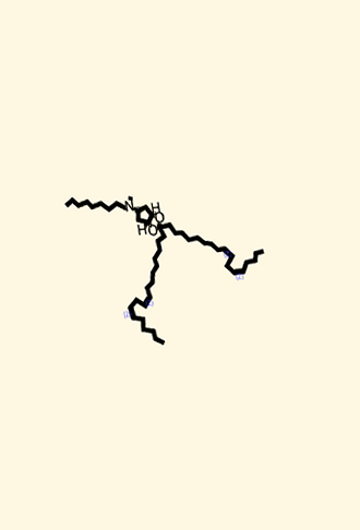 CCCC/C=C\C/C=C\CCCCCCCCC1(CCCCCCCC/C=C\C/C=C\CCCCC)O[C@H]2C[C@H](N(C)CCCCCCCCC)C[C@H]2O1